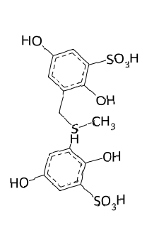 C[SH](Cc1cc(O)cc(S(=O)(=O)O)c1O)c1cc(O)cc(S(=O)(=O)O)c1O